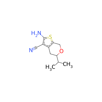 CC(C)C1Cc2c(sc(N)c2C#N)CO1